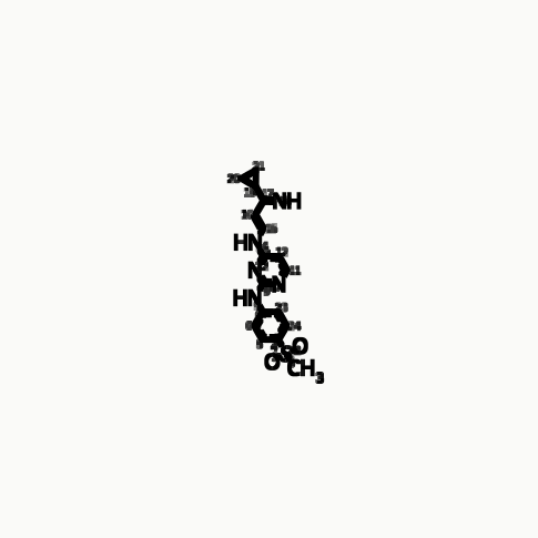 CS(=O)(=O)c1ccc(Nc2nccc(N/C=C/C(=N)C3CC3)n2)cc1